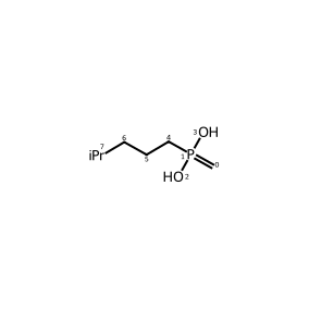 C=P(O)(O)CCCC(C)C